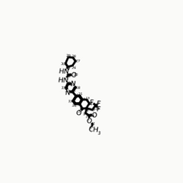 CCOC(=O)CC1(CC(F)(F)F)CCc2cc(-c3cnc(NC(=O)NC4CCCCC4)cn3)ccc2C1=O